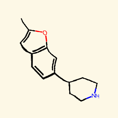 Cc1cc2ccc(C3CCNCC3)cc2o1